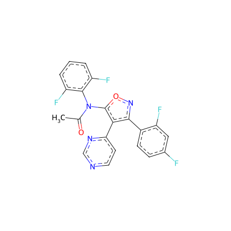 CC(=O)N(c1onc(-c2ccc(F)cc2F)c1-c1ccncn1)c1c(F)cccc1F